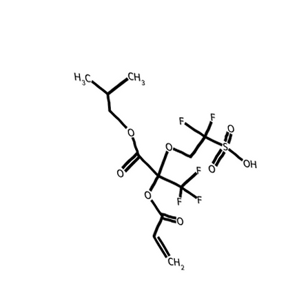 C=CC(=O)OC(OCC(F)(F)S(=O)(=O)O)(C(=O)OCC(C)C)C(F)(F)F